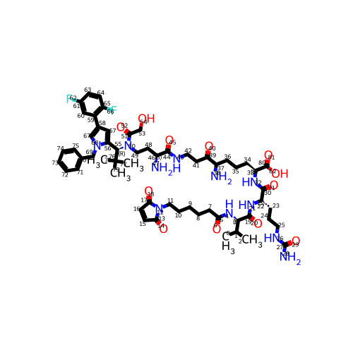 CC(C)[C@H](NC(=O)CCCCCN1C(=O)C=CC1=O)C(=O)N[C@@H](CCCNC(N)=O)C(=O)N[C@@H](CCCC(N)C(=O)CCNC(=O)[C@@H](N)CCN(C(=O)CO)[C@@H](c1cc(-c2cc(F)ccc2F)cn1Cc1ccccc1)C(C)(C)C)C(=O)O